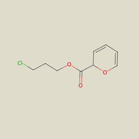 O=C(OCCCCl)C1C=CC=CO1